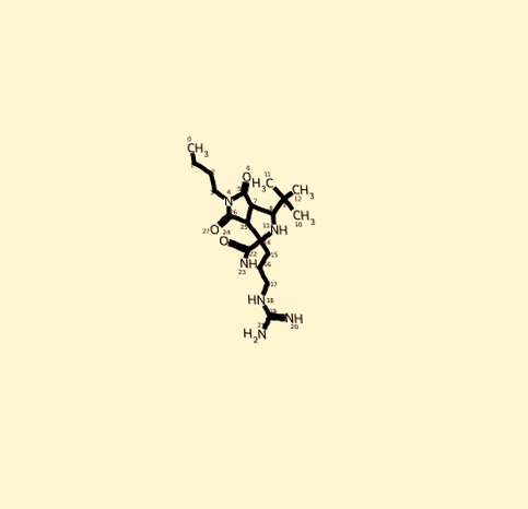 CCCCN1C(=O)C2C(C(C)(C)C)NC(CCCNC(=N)N)(C(N)=O)C2C1=O